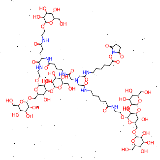 O=C(CCCCCNC(=O)CN(CC(=O)NCCCCCC(=O)ON1C(=O)CCC1=O)CC(=O)NCCCC(=O)N[C@@H](CCC(=O)NCCO[C@@H]1O[C@H](CO)[C@@H](O)[C@H](O)[C@@H]1O)C(=O)NCCO[C@H]1O[C@H](CO[C@H]2O[C@H](CO)[C@@H](O)[C@H](O)[C@@H]2O)[C@@H](O)[C@H](O[C@H]2O[C@H](CO)[C@@H](O)[C@H](O)[C@@H]2O)[C@@H]1O)NCCO[C@H]1O[C@H](CO[C@H]2O[C@H](CO)[C@@H](O)[C@H](O)[C@@H]2O)[C@@H](O)[C@H](O[C@H]2O[C@H](CO)[C@@H](O)[C@H](O)[C@@H]2O)[C@@H]1O